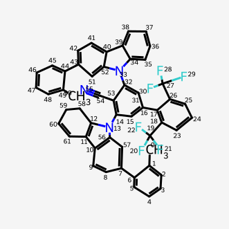 Cc1ccccc1-c1ccc2c3c(n(-c4cc(-c5c(C(F)(F)F)cccc5C(F)(F)F)cc(-n5c6ccccc6c6ccc(-c7ccccc7C)cc65)c4C#N)c2c1)CCC=C3